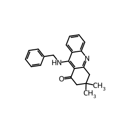 CC1(C)CC(=O)c2c(nc3ccccc3c2NCc2ccccc2)C1